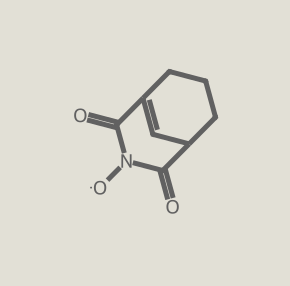 [O]N1C(=O)C2=CC(CCC2)C1=O